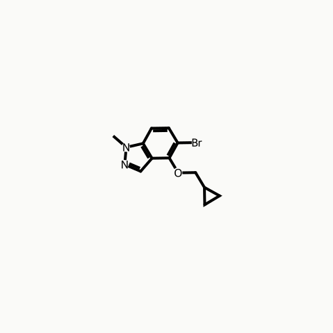 Cn1ncc2c(OCC3CC3)c(Br)ccc21